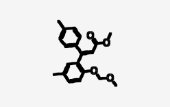 COCOc1ccc(C)cc1C(=CC(=O)OC)c1ccc(C)cc1